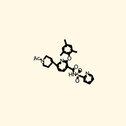 CC(=O)N1CC=C(c2ccc(C(=O)NS(=O)(=O)c3ccccn3)c(Oc3c(C)cc(C)cc3C)n2)CC1